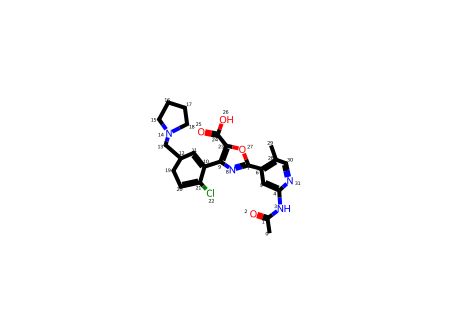 CC(=O)Nc1cc(-c2nc(C3=CC(CN4CCCC4)CC=C3Cl)c(C(=O)O)o2)c(C)cn1